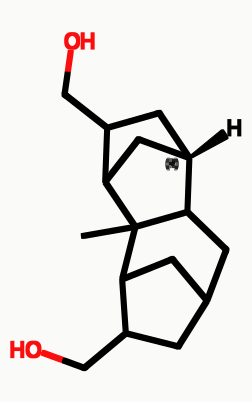 CC12C3CC(CC3CO)CC1[C@H]1CC(CO)C2C1